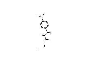 CCOC(=O)C(=O)C(F)c1ccc([N+](=O)[O-])cc1